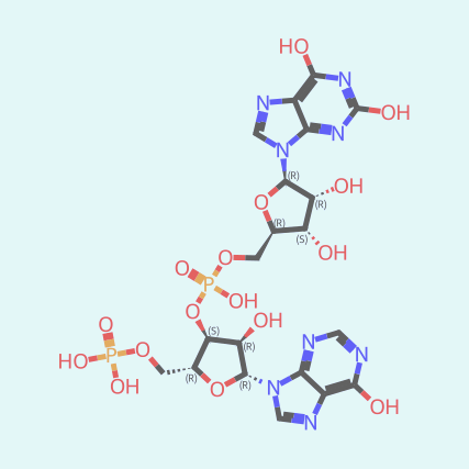 O=P(O)(O)OC[C@H]1O[C@@H](n2cnc3c(O)ncnc32)[C@H](O)[C@@H]1OP(=O)(O)OC[C@H]1O[C@@H](n2cnc3c(O)nc(O)nc32)[C@H](O)[C@@H]1O